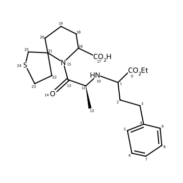 CCOC(=O)C(CCc1ccccc1)N[C@@H](C)C(=O)N1C(C(=O)O)CCCC12CCSC2